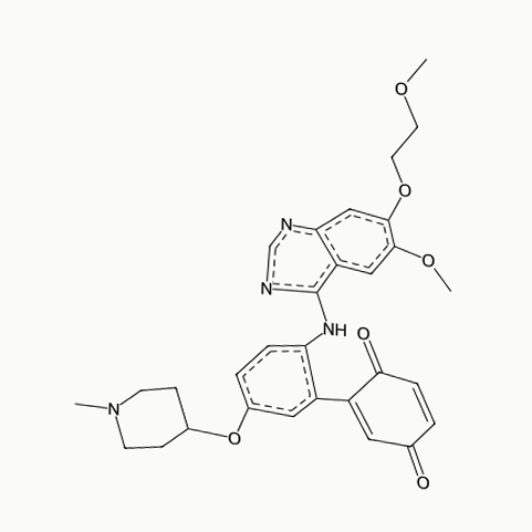 COCCOc1cc2ncnc(Nc3ccc(OC4CCN(C)CC4)cc3C3=CC(=O)C=CC3=O)c2cc1OC